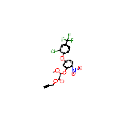 C#CCOC(=O)C(OC)Oc1cc(Oc2ccc(C(F)(F)F)cc2Cl)ccc1[N+](=O)[O-]